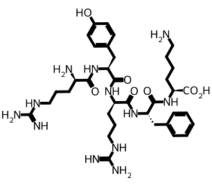 N=C(N)NCCC[C@@H](N)C(=O)N[C@@H](Cc1ccc(O)cc1)C(=O)N[C@H](CCCNC(=N)N)C(=O)N[C@@H](Cc1ccccc1)C(=O)N[C@@H](CCCCN)C(=O)O